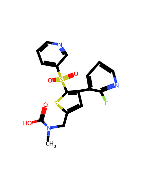 CN(Cc1cc(-c2cccnc2F)c(S(=O)(=O)c2cccnc2)s1)C(=O)O